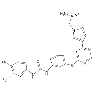 NC(=O)Cn1cc(-c2cc(Oc3cccc(NC(=O)Nc4ccc(Cl)c(C(F)(F)F)c4)c3)ncn2)cn1